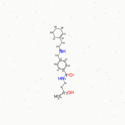 C=C(O)CCNC(=O)c1ccc(CNCCC2=CCCCC2)cc1